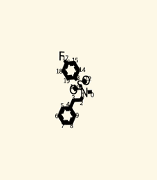 CN(CCc1ccccc1)S(=O)(=O)c1ccc(F)cc1